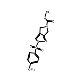 COc1ccc(S(=O)(=O)n2cc3c(n2)CN(C(=O)OC(C)(C)C)C3)cc1